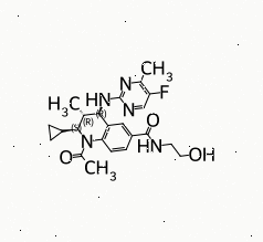 CC(=O)N1c2ccc(C(=O)NCCO)cc2[C@H](Nc2ncc(F)c(C)n2)[C@@H](C)[C@@H]1C1CC1